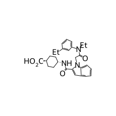 CCc1cccc(N(CC)C(=O)Cn2c(C(=O)N[C@H]3CC[C@H](C(=O)O)CC3)cc3ccccc32)c1